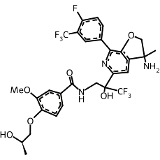 COc1cc(C(=O)NCC(O)(c2cc3c(c(-c4ccc(F)c(C(F)(F)F)c4)n2)OCC3(C)N)C(F)(F)F)ccc1OC[C@@H](C)O